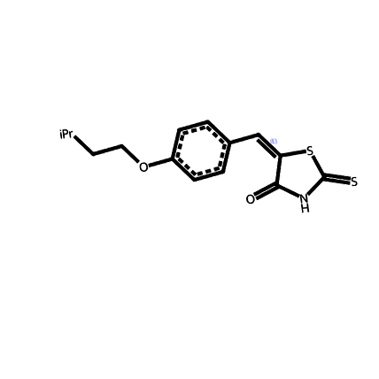 CC(C)CCOc1ccc(/C=C2/SC(=S)NC2=O)cc1